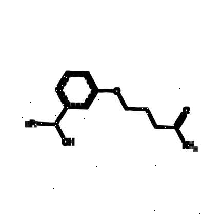 CCCC(O)c1cccc(OCCCC(N)=O)c1